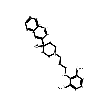 COc1cccc(OC)c1OCCCN1CCC(O)(c2cnc3ccccc3c2)CC1